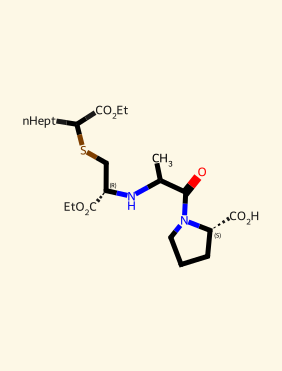 CCCCCCCC(SC[C@H](NC(C)C(=O)N1CCC[C@H]1C(=O)O)C(=O)OCC)C(=O)OCC